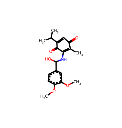 COc1ccc(C(O)NC2=C(C)C(=O)C=C(C(C)C)C2=O)cc1OC